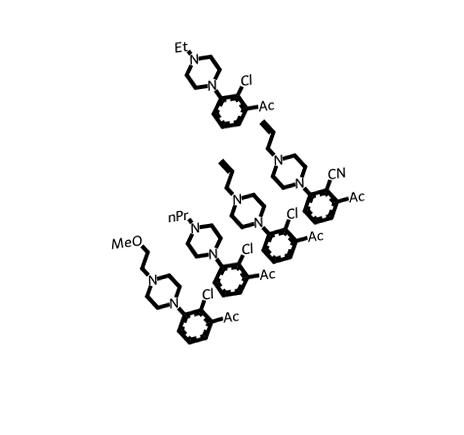 C=CCN1CCN(c2cccc(C(C)=O)c2C#N)CC1.C=CCN1CCN(c2cccc(C(C)=O)c2Cl)CC1.CCCN1CCN(c2cccc(C(C)=O)c2Cl)CC1.CCN1CCN(c2cccc(C(C)=O)c2Cl)CC1.COCCN1CCN(c2cccc(C(C)=O)c2Cl)CC1